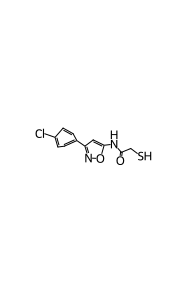 O=C(CS)Nc1cc(-c2ccc(Cl)cc2)no1